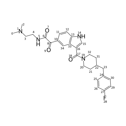 CN(C)CCNC(=O)C(=O)c1ccc2[nH]cc(C(=O)N3CCC(Cc4ccc(F)cc4)CC3)c2c1